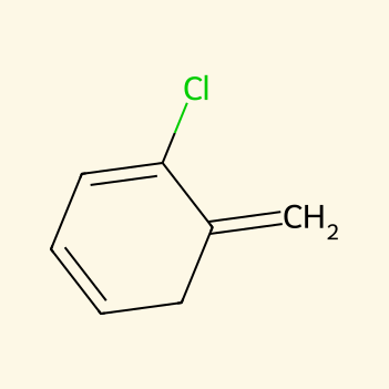 C=C1CC=CC=C1Cl